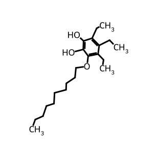 CCCCCCCCCCOc1c(O)c(O)c(CC)c(CC)c1CC